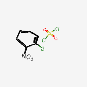 O=S(=O)(Cl)Cl.O=[N+]([O-])c1ccccc1Cl